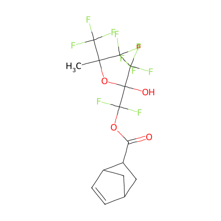 CC(OC(O)(C(F)(F)F)C(F)(F)OC(=O)C1CC2C=CC1C2)(C(F)(F)F)C(F)(F)F